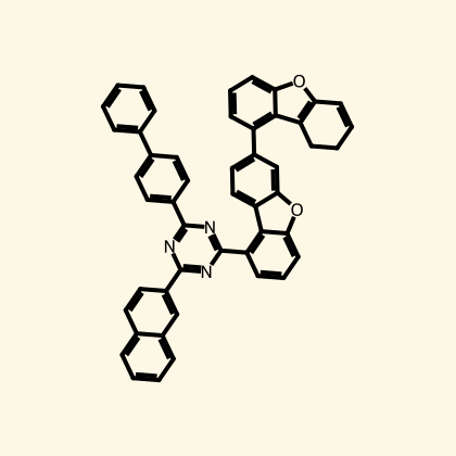 C1=Cc2oc3cccc(-c4ccc5c(c4)oc4cccc(-c6nc(-c7ccc(-c8ccccc8)cc7)nc(-c7ccc8ccccc8c7)n6)c45)c3c2CC1